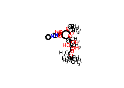 CC[C@H](O[Si](C)(C)C(C)(C)C)[C@@H](C)[C@H]1O[C@@H]1C[C@@](C)(O)C(O)C(O)C=C(C)[C@H]1OC(=O)C[C@H](O[Si](C)(C)C(C)(C)C)CC[C@@](C)(O)[C@@H](OC(=O)N2CCN(C3CCCCCC3)CC2)C=C[C@@H]1C